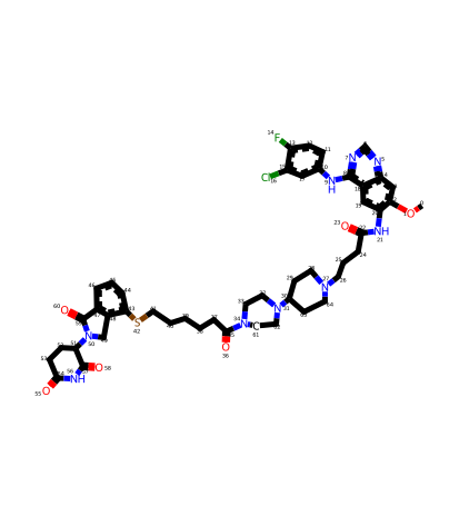 COc1cc2ncnc(Nc3ccc(F)c(Cl)c3)c2cc1NC(=O)CCCN1CCC(N2CCN(C(=O)CCCCCSc3cccc4c3CN(C3CCC(=O)NC3=O)C4=O)CC2)CC1